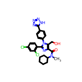 CN(C(=O)c1nc(-c2ccc(Cl)cc2Cl)n(-c2ccc(-c3nnn[nH]3)cc2)c1CO)C1CCCCC1